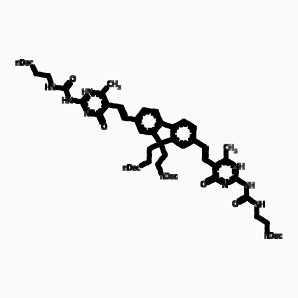 CCCCCCCCCCCCNC(=O)Nc1nc(=O)c(C=Cc2ccc3c(c2)C(CCCCCCCCCCCC)(CCCCCCCCCCCC)c2cc(C=Cc4c(C)[nH]c(NC(=O)NCCCCCCCCCCCC)nc4=O)ccc2-3)c(C)[nH]1